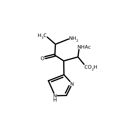 CC(=O)NC(C(=O)O)C(C(=O)C(C)N)c1c[nH]cn1